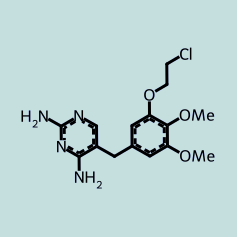 COc1cc(Cc2cnc(N)nc2N)cc(OCCCl)c1OC